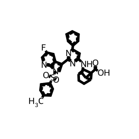 Cc1ccc(S(=O)(=O)n2cc(-c3nc(NC4C5CCC(CC5)C4C(=O)O)cc(-c4ccccc4)n3)c3cc(F)cnc32)cc1